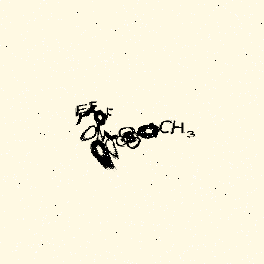 Cc1ccc(S(=O)(=O)OCC2CN(C(=O)c3cc(F)cc(C(F)(F)F)c3)c3ccccc3O2)cc1